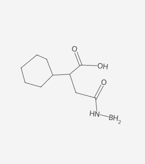 BNC(=O)CC(C(=O)O)C1CCCCC1